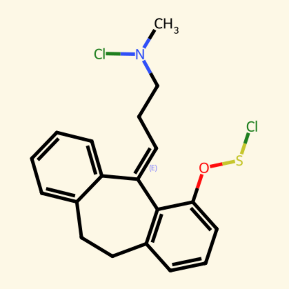 CN(Cl)CC/C=C1\c2ccccc2CCc2cccc(OSCl)c21